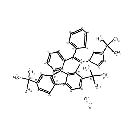 CC(C)(C)C1=C[CH]([Hf+2](=[C](c2ccccc2)c2ccccc2)[c]2c(C(C)(C)C)ccc3c2Cc2cc(C(C)(C)C)ccc2-3)C=C1.[Cl-].[Cl-]